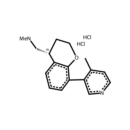 CNC[C@@H]1CCOc2c(-c3cnccc3C)cccc21.Cl.Cl